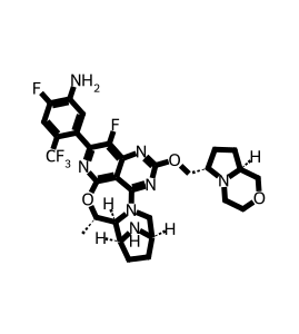 C[C@@H]1Oc2nc(-c3cc(N)c(F)cc3C(F)(F)F)c(F)c3nc(OC[C@@H]4CC[C@H]5COCCN54)nc(c23)N2C[C@H]3CC[C@H](N3)[C@@H]12